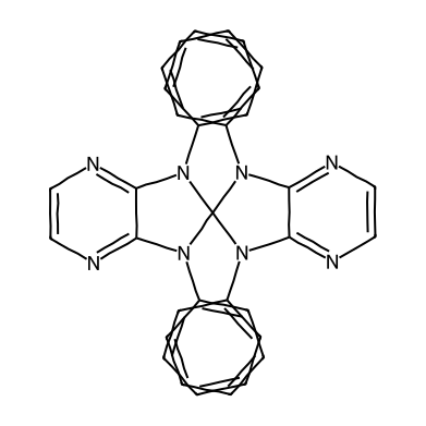 c1ccc(N2c3nccnc3N(c3ccccc3)C23N(c2ccccc2)c2nccnc2N3c2ccccc2)cc1